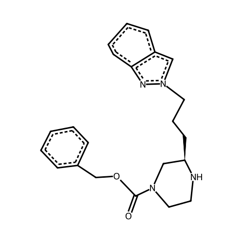 O=C(OCc1ccccc1)N1CCN[C@H](CCCn2cc3ccccc3n2)C1